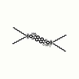 CCCCCCCCCCCCN(CCCCCCCCCCCC)S(=O)(=O)c1cc(N)c2c(c1)nc1c3ccc4c5ccc6c(=O)n7c(nc8cc(S(=O)(=O)N(CCCCCCCCCCCC)CCCCCCCCCCCC)cc(N)c87)c7ccc(c8ccc(c(=O)n12)c3c84)c5c67